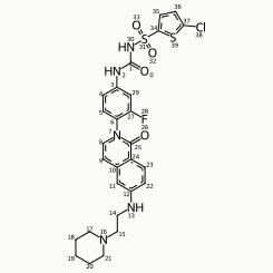 O=C(Nc1ccc(-n2ccc3cc(NCCN4CCCCC4)ccc3c2=O)c(F)c1)NS(=O)(=O)c1ccc(Cl)s1